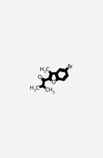 Cc1c(C(=O)C(C)C)oc2ccc(Br)cc12